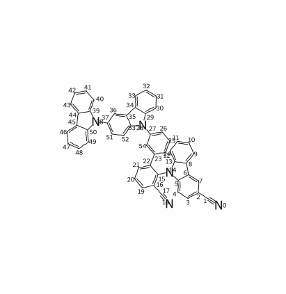 N#Cc1ccc2c(c1)c1ccccc1n2-c1c(C#N)cccc1-c1cccc(-n2c3ccccc3c3cc(-n4c5ccccc5c5ccccc54)ccc32)c1